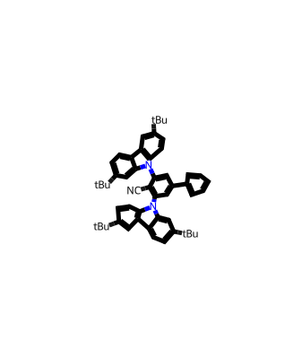 CC(C)(C)c1ccc2c(c1)c1ccc(C(C)(C)C)cc1n2-c1cc(-c2ccccc2)cc(-n2c3ccc(C(C)(C)C)cc3c3ccc(C(C)(C)C)cc32)c1C#N